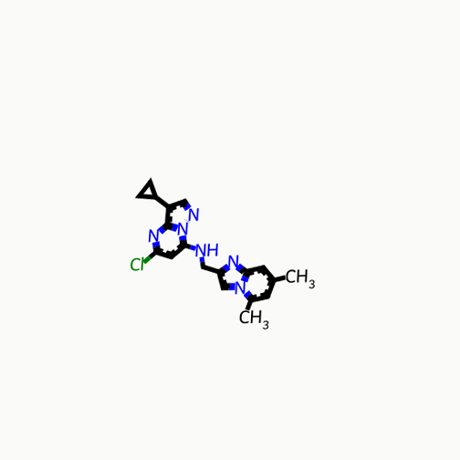 Cc1cc(C)n2cc(CNc3cc(Cl)nc4c(C5CC5)cnn34)nc2c1